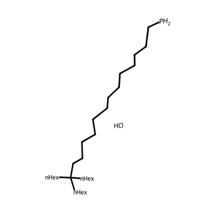 CCCCCCC(CCCCCC)(CCCCCC)CCCCCCCCCCCCCP.Cl